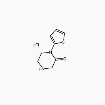 Cl.O=C1CNCCN1c1cccs1